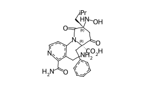 CC(C)C[C@@]1(NO)CC(=O)[C@](Cc2ccccc2)(C(=O)O)N(c2ccnc(C(N)=O)c2CN)C1=O